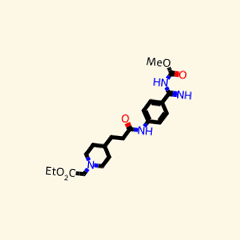 CCOC(=O)CN1CCC(CCC(=O)Nc2ccc(C(=N)NC(=O)OC)cc2)CC1